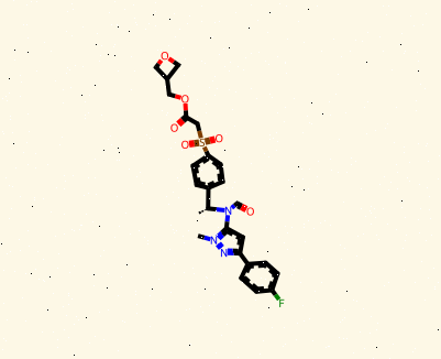 C[C@H](c1ccc(S(=O)(=O)CC(=O)OCC2COC2)cc1)N(C=O)c1cc(-c2ccc(F)cc2)nn1C